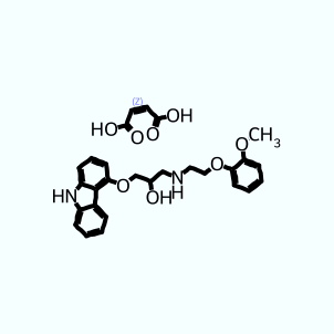 COc1ccccc1OCCNCC(O)COc1cccc2[nH]c3ccccc3c12.O=C(O)/C=C\C(=O)O